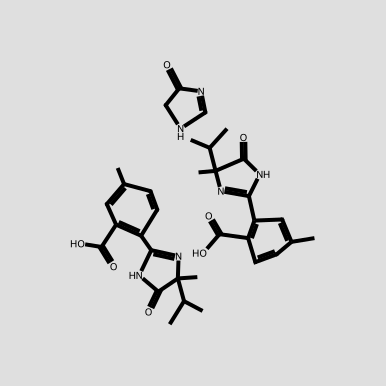 Cc1ccc(C(=O)O)c(C2=NC(C)(C(C)C)C(=O)N2)c1.Cc1ccc(C2=NC(C)(C(C)C)C(=O)N2)c(C(=O)O)c1.O=C1CNC=N1